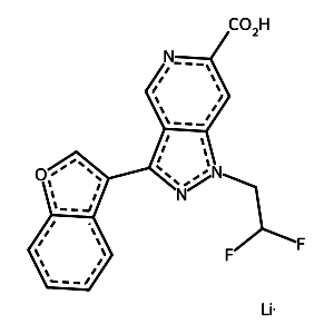 O=C(O)c1cc2c(cn1)c(-c1coc3ccccc13)nn2CC(F)F.[Li]